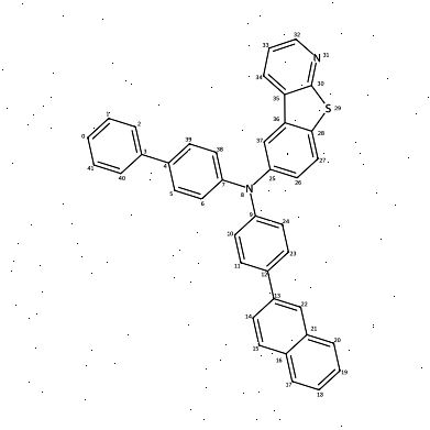 c1ccc(-c2ccc(N(c3ccc(-c4ccc5ccccc5c4)cc3)c3ccc4sc5ncccc5c4c3)cc2)cc1